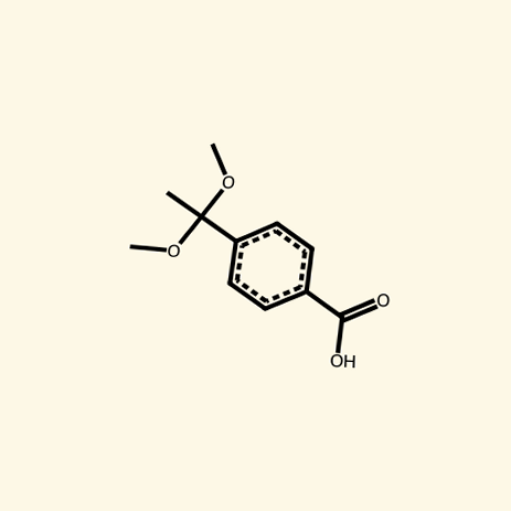 COC(C)(OC)c1ccc(C(=O)O)cc1